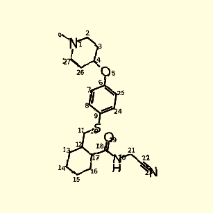 CN1CCC(Oc2ccc(SCC3CCCCC3C(=O)NCC#N)cc2)CC1